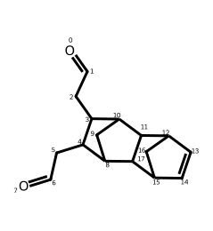 O=CCC1C(CC=O)C2CC1C1C3C=CC(C3)C21